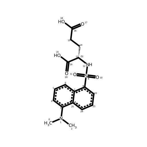 CN(C)c1cccc2c(S(=O)(=O)N[C@@H](CCC(=O)O)C(=O)O)cccc12